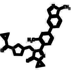 Cc1cc(-c2ccc3c(cnn3C)c2)ccc1C1=NC2(CC2)C(=O)N1CC1CCN(C(=O)C2CC2)C1